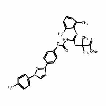 COC(=O)C(C)(C)S/C(=N/c1c(C)cccc1C)NC(=O)Nc1ccc(-c2ncn(-c3ccc(C(F)(F)F)cc3)n2)cc1